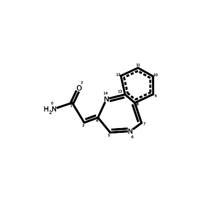 NC(=O)/C=C1/C=NC=c2ccccc2=N1